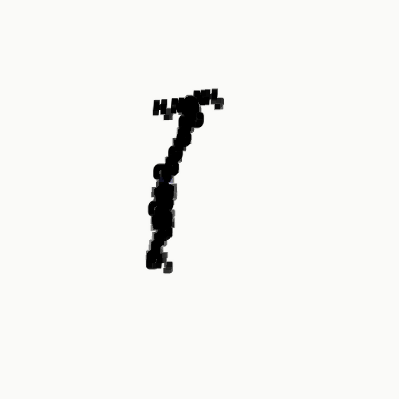 Nc1cc(N)cc(C(=O)OCCOCCOCCOC(=O)/C=C/c2ccc(OC(=O)c3ccc(OCCCCCC(F)(F)F)cc3)cc2)c1